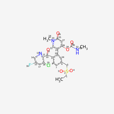 CCS(=O)(=O)Cc1ccc(C(=O)c2ncc(F)cc2Cl)c(-c2cn(C)c(=O)cc2OC(=O)NC)c1